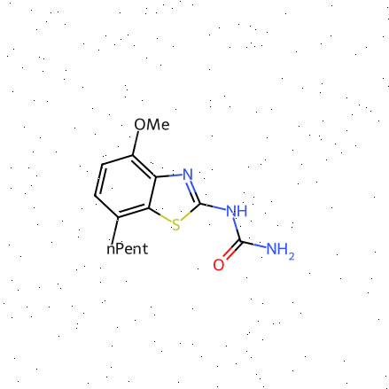 CCCCCc1ccc(OC)c2nc(NC(N)=O)sc12